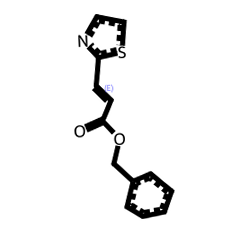 O=C(/C=C/c1nccs1)OCc1ccccc1